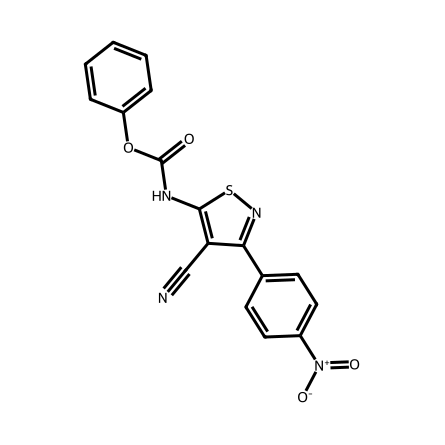 N#Cc1c(-c2ccc([N+](=O)[O-])cc2)nsc1NC(=O)Oc1ccccc1